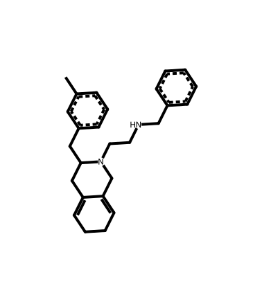 Cc1cccc(CC2CC3=CCCC=C3CN2CCNCc2ccccc2)c1